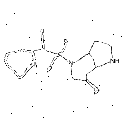 O=C1CN(S(=O)(=O)C(=O)c2ccccn2)C2CCNC12